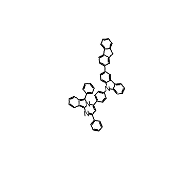 c1ccc(-c2cc(-c3ccc(-n4c5ccccc5c5cc(-c6ccc7c(c6)Cc6ccccc6-7)ccc54)cc3)n3c(-c4ccccc4)c4ccccc4c3n2)cc1